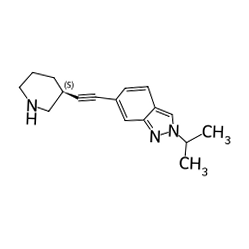 CC(C)n1cc2ccc(C#C[C@@H]3CCCNC3)cc2n1